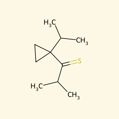 CC(C)C(=S)C1(C(C)C)CC1